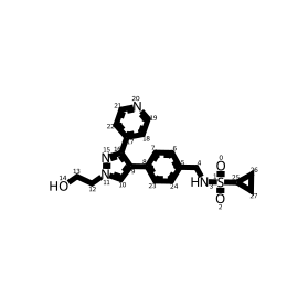 O=S(=O)(NCc1ccc(-c2cn(CCO)nc2-c2ccncc2)cc1)C1CC1